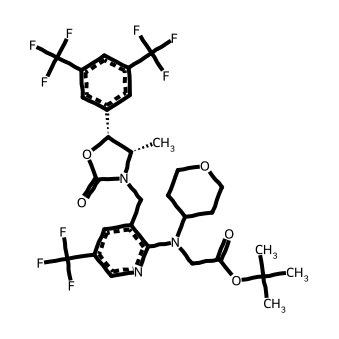 C[C@H]1[C@@H](c2cc(C(F)(F)F)cc(C(F)(F)F)c2)OC(=O)N1Cc1cc(C(F)(F)F)cnc1N(CC(=O)OC(C)(C)C)C1CCOCC1